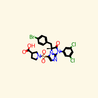 C[C@@]1(Cc2ccc(Br)cc2)C(=O)N(c2cc(Cl)cc(Cl)c2)c2ncc(S(=O)(=O)N3CCC(C(=O)O)C3)n21